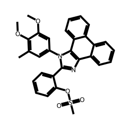 COc1cc(-n2c(-c3ccccc3OS(C)(=O)=O)nc3c4ccccc4c4ccccc4c32)cc(C)c1OC